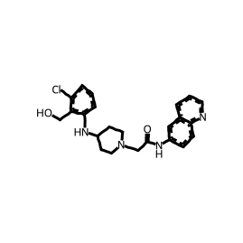 O=C(CN1CCC(Nc2cccc(Cl)c2CO)CC1)Nc1ccc2ncccc2c1